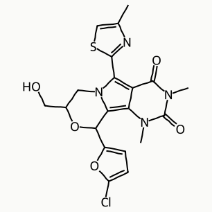 Cc1csc(-c2c3c(=O)n(C)c(=O)n(C)c3c3n2CC(CO)OC3c2ccc(Cl)o2)n1